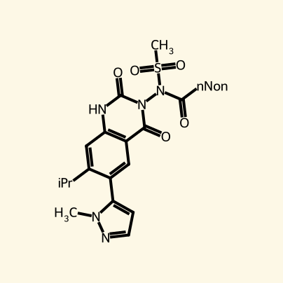 CCCCCCCCCC(=O)N(n1c(=O)[nH]c2cc(C(C)C)c(-c3ccnn3C)cc2c1=O)S(C)(=O)=O